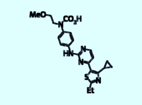 CCc1nc(C2CC2)c(-c2ccnc(Nc3ccc(N(CCOC)C(=O)O)cc3)n2)s1